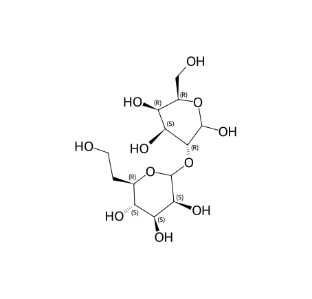 OCC[C@H]1OC(O[C@H]2C(O)O[C@H](CO)[C@H](O)[C@@H]2O)[C@@H](O)[C@@H](O)[C@@H]1O